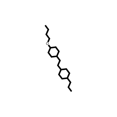 CCCCOC1CCC(CCC2CCC(CCC)CC2)CC1